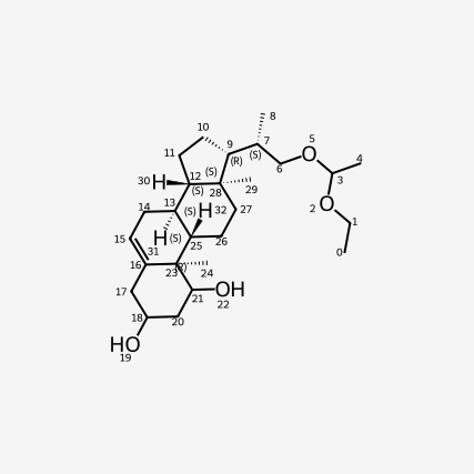 CCOC(C)OC[C@@H](C)[C@H]1CC[C@H]2[C@@H]3CC=C4CC(O)CC(O)[C@]4(C)[C@H]3CC[C@]12C